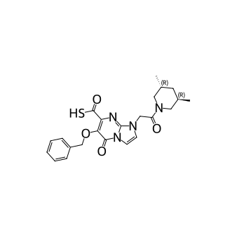 C[C@@H]1C[C@@H](C)CN(C(=O)Cn2ccn3c(=O)c(OCc4ccccc4)c(C(=O)S)nc23)C1